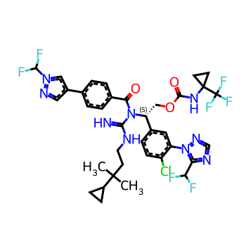 CC(C)(CCNC(=N)N(C(=O)c1ccc(-c2cnn(C(F)F)c2)cc1)[C@H](COC(=O)NC1(C(F)(F)F)CC1)c1ccc(Cl)c(-n2ncnc2C(F)F)c1)C1CC1